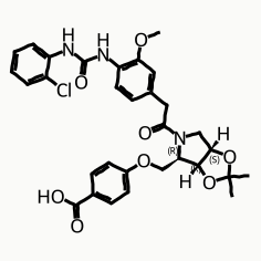 COc1cc(CC(=O)N2C[C@@H]3OC(C)(C)O[C@@H]3[C@H]2COc2ccc(C(=O)O)cc2)ccc1NC(=O)Nc1ccccc1Cl